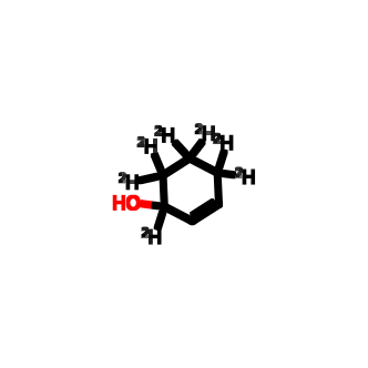 [2H]C1([2H])C=CC([2H])(O)C([2H])([2H])C1([2H])[2H]